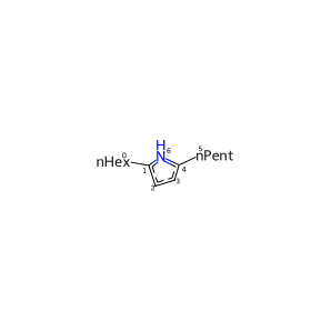 CCCCCCc1ccc(CCCCC)[nH]1